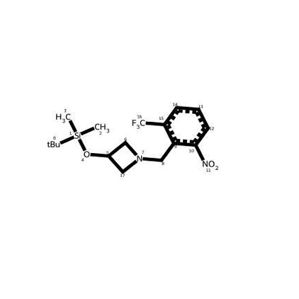 CC(C)(C)[Si](C)(C)OC1CN(Cc2c([N+](=O)[O-])cccc2C(F)(F)F)C1